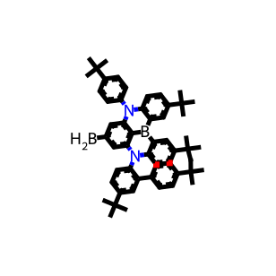 Bc1cc2c3c(c1)N(c1ccc(C(C)(C)C)cc1-c1ccc(C(C)(C)C)cc1)c1ccc(C(C)(C)C)cc1B3c1cc(C(C)(C)C)ccc1N2c1ccc(C(C)(C)C)cc1